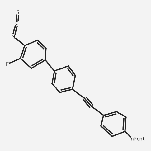 CCCCCc1ccc(C#Cc2ccc(-c3ccc(N=C=S)c(F)c3)cc2)cc1